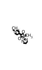 CCN1C=CC(=C2C(=O)N(C)N(c3ncccn3)C2=O)C=C1